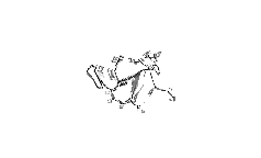 [2H]OC([2H])(CCI)c1c(F)ccc(Cl)c1F